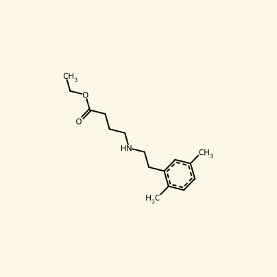 CCOC(=O)CCCNCCc1cc(C)ccc1C